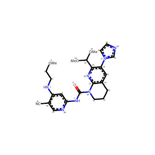 COCCNc1cc(NC(=O)N2CCCc3cc(-n4ccnc4)c(C(OC)OC)nc32)ncc1C#N